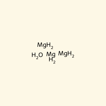 O.[MgH2].[MgH2].[MgH2]